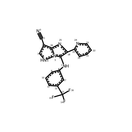 N#Cc1c[nH]n2c(Nc3cccc(C(F)(F)F)c3)c(-c3ccccn3)nc12